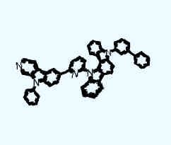 c1ccc(-c2cccc(-n3c4ccccc4c4c3ccc3c5ccccc5n(-c5cccc(-c6ccc7c(c6)c6ccncc6n7-c6ccccc6)n5)c34)c2)cc1